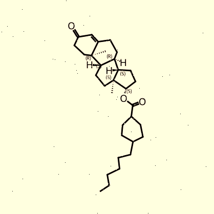 CCCCCCC1CCC(C(=O)O[C@H]2CC[C@H]3[C@@H]4CCC5=CC(=O)CC[C@]5(C)[C@H]4CC[C@]23C)CC1